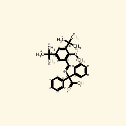 COc1c(C=NC(C(=O)O)(c2ccccc2)c2ccccc2)cc(C(C)(C)C)cc1C(C)(C)C